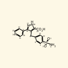 NS(=O)(=O)c1ccc(Cc2c(-c3ccncc3)n[nH]c2C(=O)O)cc1